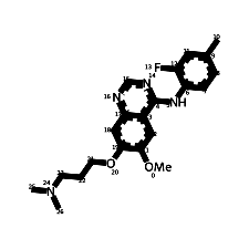 COc1cc2c(Nc3ccc(C)cc3F)ncnc2cc1OCCCN(C)C